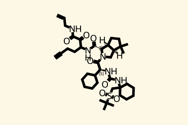 C#CCCC(NC(=O)[C@@H]1[C@H]2CCC(C)(C)[C@H]2CN1C(=O)[C@@H](NC(=O)NC1(CS(=O)(=O)C(C)(C)C)CCCCC1)C1CCCCC1)C(=O)C(=O)NCC=C